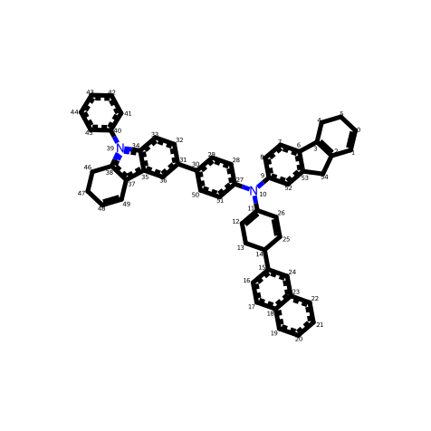 C1=CC2=C(CC1)c1ccc(N(C3=CCC(c4ccc5ccccc5c4)C=C3)c3ccc(-c4ccc5c(c4)c4c(n5-c5ccccc5)CCC=C4)cc3)cc1C2